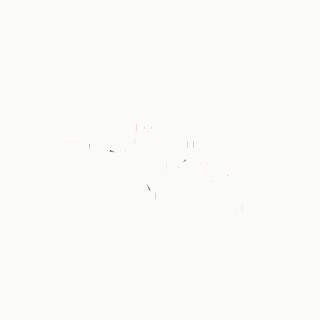 C[C@]12CCC(=O)C=C1CC[C@@H]1[C@@H]2C(O)C[C@@]2(C)[C@H]1CC[C@]2(OC(=O)c1ccccc1)C(=O)CCl